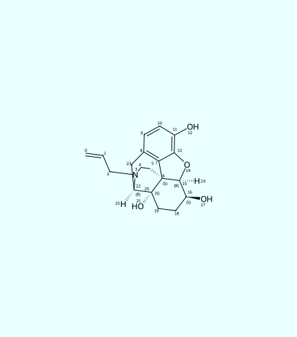 C=CCN1CC[C@]23c4c5ccc(O)c4O[C@H]2[C@@H](O)CC[C@@]3(O)[C@H]1C5